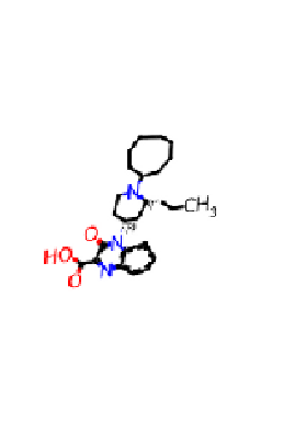 CCC[C@@H]1C[C@H](n2c(=O)c(C(=O)O)nc3ccccc32)CCN1C1CCCCCCC1